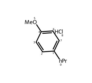 CCCc1ccc(OC)cc1.Cl